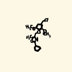 COc1cc(CCl)cc(OC)c1OCc1nc(-c2ccccc2)oc1C